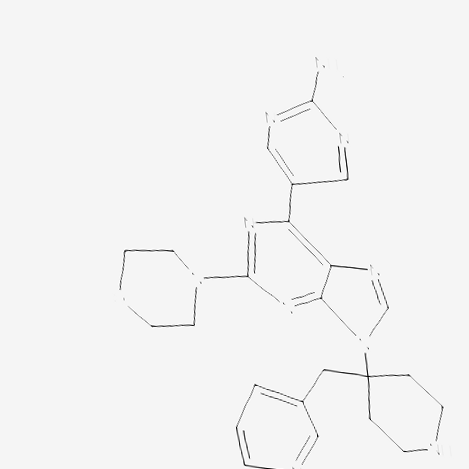 Nc1ncc(-c2nc(N3CCOCC3)nc3c2ncn3C2(Cc3cccnc3)CCNCC2)cn1